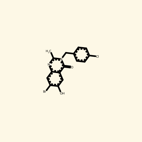 Cc1nc2cc(Br)c(O)cc2c(=O)n1Cc1ccc(Cl)cc1